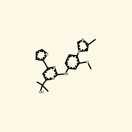 COc1cc(Nc2nc(-c3cccs3)cc(C(C)(C)O)n2)ccc1-n1cnc(C)c1